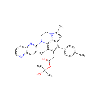 Cc1ccc(-c2c(CC(=O)OC(C)(C)O)c(C)c3c4c2cc(C)n4CCN3c2ccc3ncccc3n2)cc1